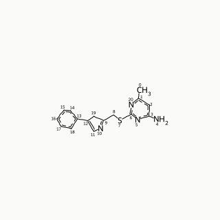 Cc1cc(N)nc(SCC2=NC=C(c3ccccc3)C2)n1